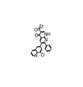 CC[S+]([O-])c1c[nH]c2nc(-c3ccccc3)c(-c3cc(Cl)c4ncccc4c3)cc2c1=O